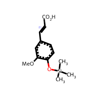 COc1cc(/C=C/C(=O)O)ccc1O[Si](C)(C)C